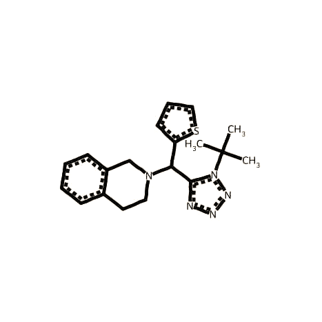 CC(C)(C)n1nnnc1C(c1cccs1)N1CCc2ccccc2C1